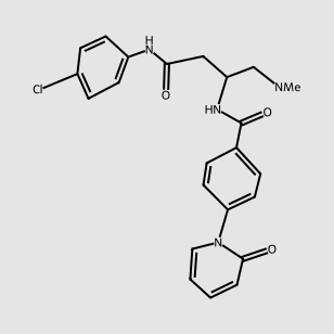 CNCC(CC(=O)Nc1ccc(Cl)cc1)NC(=O)c1ccc(-n2ccccc2=O)cc1